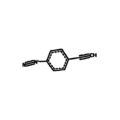 C#Cc1ccc([N+]#N)cc1